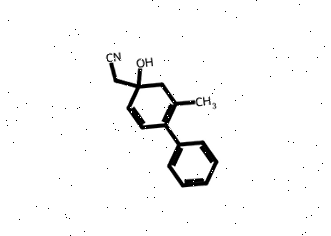 CC1=C(c2ccccc2)C=CC(O)(CC#N)C1